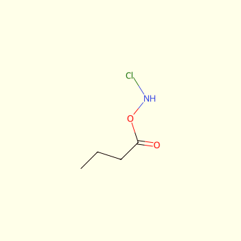 CCCC(=O)ONCl